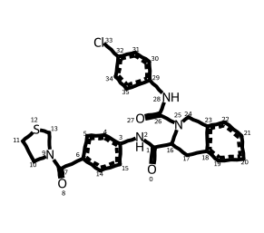 O=C(Nc1ccc(C(=O)N2CCSC2)cc1)C1Cc2ccccc2CN1C(=O)Nc1ccc(Cl)cc1